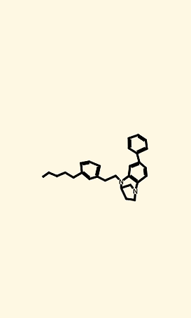 CCCCCc1cccc(CCN2c3cc(-c4ccccc4)ccc3N3CCC2C3)c1